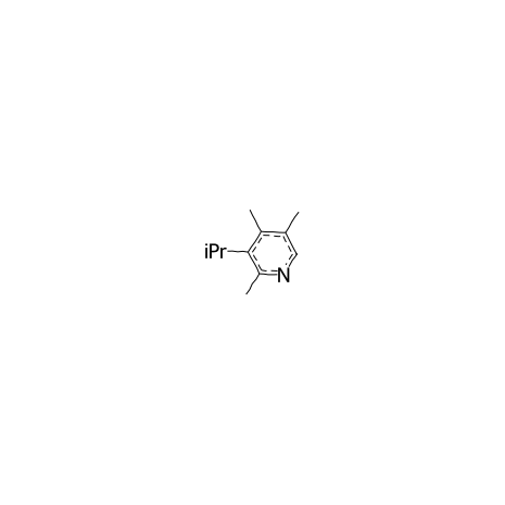 Cc1cnc(C)c(C(C)C)c1C